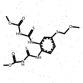 COCSc1ccc(NC(=S)NC(=O)OC)c(NC(=S)NC(=O)OC)c1